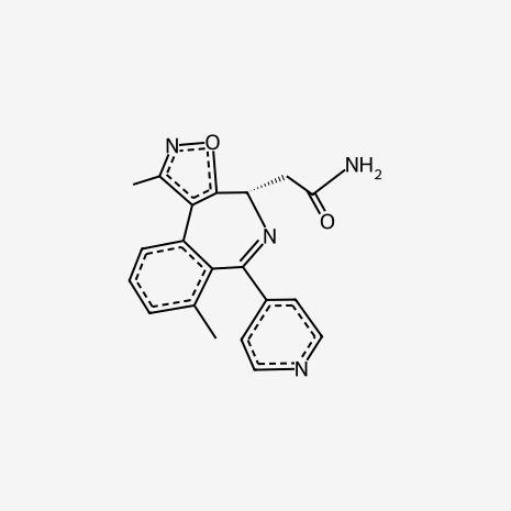 Cc1cccc2c1C(c1ccncc1)=N[C@@H](CC(N)=O)c1onc(C)c1-2